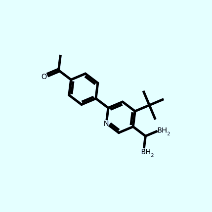 BC(B)c1cnc(-c2ccc(C(C)=O)cc2)cc1C(C)(C)C